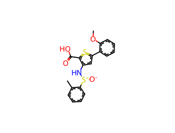 COc1ccccc1-c1cc(N[S+]([O-])c2ccccc2C)c(C(=O)O)s1